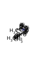 CCCCC(C)(C)[C@@H](/C=C/[C@H]1[C@H](OC2CCCCO2)CC(=O)[C@@H]1CCCCC(=O)CC(=O)OC(C)(C)C)OC1CCCCO1